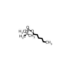 CCCCCCO[PH](=O)[Si](C)(C)C